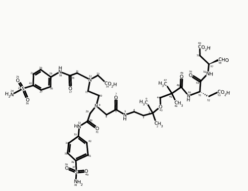 CC(C)(CCNC(=O)CN(CCN(CC(=O)O)CC(=O)Nc1ccc(S(N)(=O)=O)cc1)CC(=O)Nc1ccc(S(N)(=O)=O)cc1)OCC(C)(C)C(=O)N[C@@H](CC(=O)O)C(=O)N[C@H](C=O)CC(=O)O